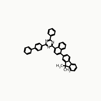 CC1(C)c2ccccc2-c2ccc(-c3ccc(-c4nc(-c5ccccc5)nc(-c5ccc(-c6ccccc6)cc5)n4)c4ccccc34)cc21